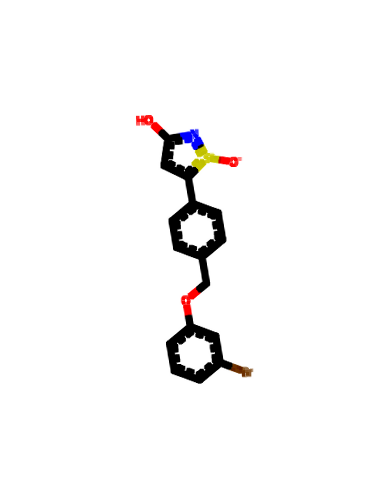 [O-][s+]1nc(O)cc1-c1ccc(COc2cccc(Br)c2)cc1